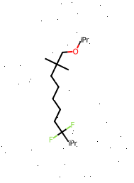 CC(C)OCC(C)(C)CCCCCC(F)(F)C(C)C